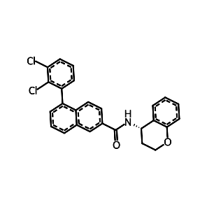 O=C(N[C@H]1CCOc2ccccc21)c1ccc2c(-c3cccc(Cl)c3Cl)cccc2c1